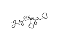 COC(=O)C1COC(C(O)CCC(NC(=O)OCc2ccccc2)c2ccccc2)=N1